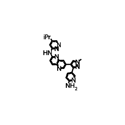 CC(C)c1cnnc(Nc2ccc3ncc(-c4cn(C)nc4-c4ccc(N)nc4)cc3n2)c1